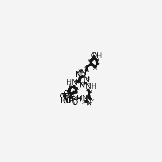 O=[PH2]C(O)(c1ccc(Nc2nc(NCCc3cnc[nH]3)nc3c2ncn3CCc2cccc(O)c2)cc1)P(=O)(O)O